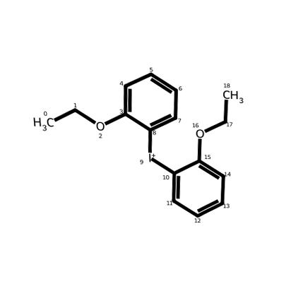 CCOc1ccccc1[I+]c1ccccc1OCC